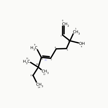 C=CC(C)(O)CC/C=C(\C)C(C)(C)CC